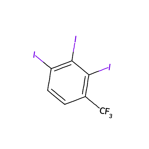 FC(F)(F)c1ccc(I)c(I)c1I